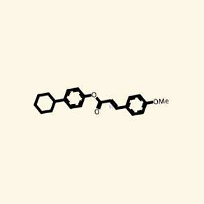 COc1ccc(/C=C/C(=O)Oc2ccc(C3CCCCC3)cc2)cc1